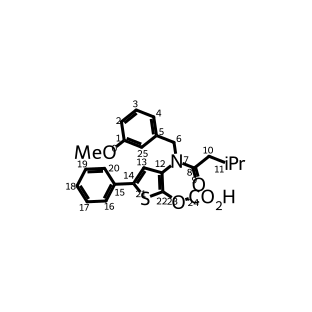 COc1cccc(CN(C(=O)CC(C)C)c2cc(-c3ccccc3)sc2OC(=O)O)c1